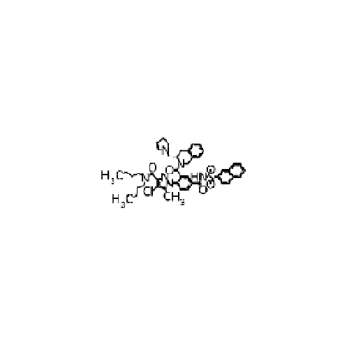 CCCCN(CCCC)C(=O)c1nn(-c2ccc(C(=O)NS(=O)(=O)c3ccc4ccccc4c3)cc2C(=O)N2Cc3ccccc3C[C@H]2CN2CCCC2)c(C)c1Cl